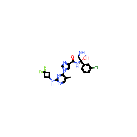 Cc1cnc(NC2CC(F)(F)C2)nc1-n1cnc(C(=O)N[C@@](O)(CN)c2cccc(Cl)c2)c1